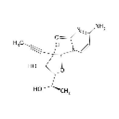 CC#CC1(Cl)[C@@H](O)[C@@H]([C@@H](C)O)O[C@H]1n1ccc(N)nc1=O